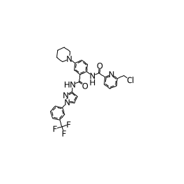 O=C(Nc1ccc(N2CCCCC2)cc1C(=O)Nc1ccn(-c2cccc(C(F)(F)F)c2)n1)c1cccc(CCl)n1